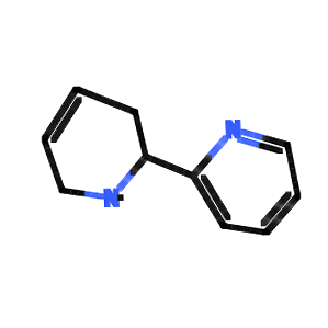 C1=CCC(c2ccccn2)[N]C1